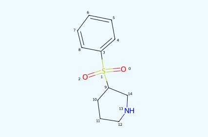 O=S(=O)(c1ccccc1)C1CCCNC1